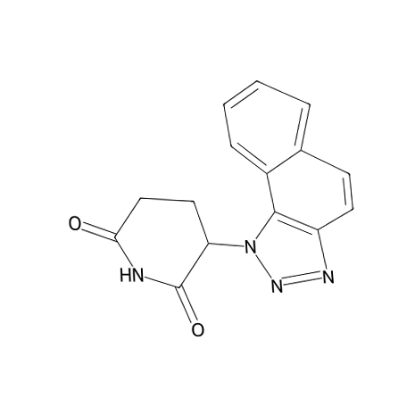 O=C1CCC(n2nnc3ccc4ccccc4c32)C(=O)N1